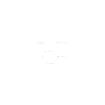 CCCCCCC=O.ClC1CCCCC1